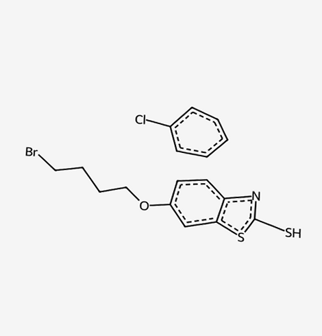 Clc1ccccc1.Sc1nc2ccc(OCCCCBr)cc2s1